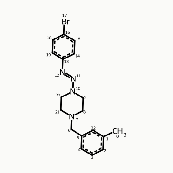 Cc1cccc(CN2CCN(/N=N/c3ccc(Br)cc3)CC2)c1